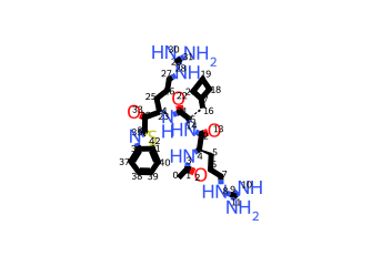 CC(=O)N[C@H](CCCNC(=N)N)C(=O)N[C@@H](CC1CCC1)C(=O)NC(CCCNC(=N)N)C(=O)c1nc2ccccc2s1